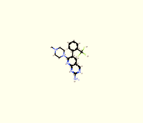 CN1CCN(c2nc3nc(N)ncc3cc2-c2ccccc2C(F)(F)F)CC1